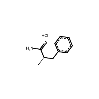 C[C@@H](Cc1ccccc1)C(N)=S.Cl